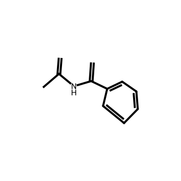 C=C(C)NC(=C)c1ccccc1